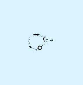 CC1(C)CNCCCOc2ccc(c(F)c2)CNc2cc(nc(OCC(F)(F)F)n2)Nc2ccc(cc2)C(=O)NC1